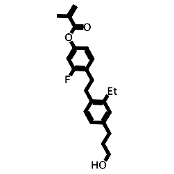 C=C(C)C(=O)Oc1ccc(CCc2ccc(CCCO)cc2CC)c(F)c1